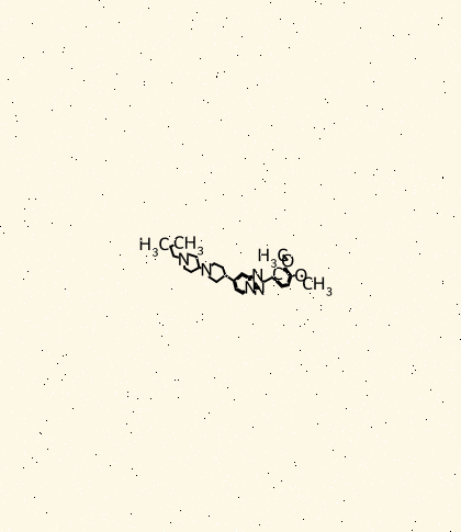 COc1ccc(-c2nc3cc(C4CCN(C5CCN(CC(C)C)CC5)CC4)ccn3n2)cc1OC